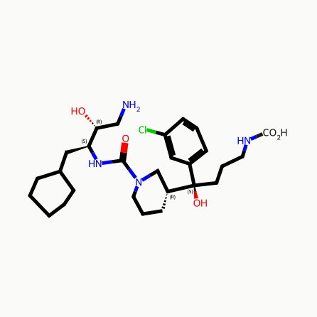 NC[C@@H](O)[C@H](CC1CCCCC1)NC(=O)N1CCC[C@@H]([C@@](O)(CCCNC(=O)O)c2cccc(Cl)c2)C1